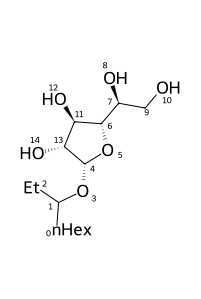 CCCCCCC(CC)O[C@H]1O[C@@H]([C@@H](O)CO)[C@H](O)[C@H]1O